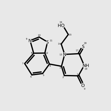 O=c1cc(-c2cccc3ncsc23)n(CCO)c(=S)[nH]1